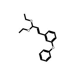 CCOC(C=Cc1cccc(Oc2ccccc2)c1)OCC